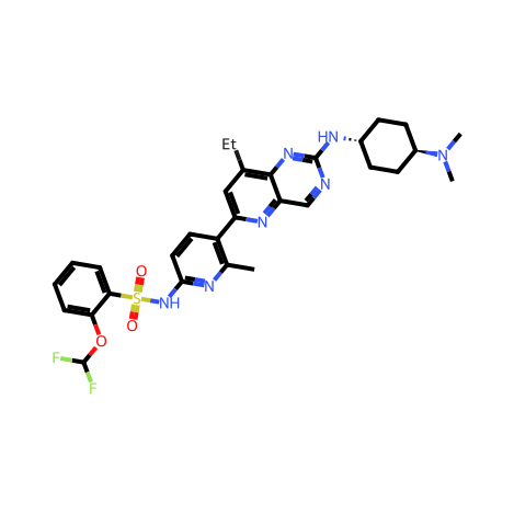 CCc1cc(-c2ccc(NS(=O)(=O)c3ccccc3OC(F)F)nc2C)nc2cnc(N[C@H]3CC[C@H](N(C)C)CC3)nc12